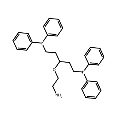 NCCOC(CCP(c1ccccc1)c1ccccc1)CCP(c1ccccc1)c1ccccc1